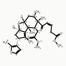 COC(=O)C/C=C\C(=O)[C@]1(C)[C@@H](CC(=O)OC)[C@]2(C)C3=C(C)[C@H](c4ccoc4C)C[C@H]3O[C@@H]2C[C@H]1C